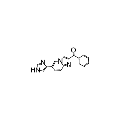 O=C(c1ccccc1)c1cn2cc(-c3c[nH]cn3)ccc2n1